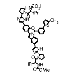 COC(=O)NC(C(=O)N1CCC[C@H]1c1ncc(-c2ccc3c(c2)cc2n3C(c3cccc(-c4ccc(C)s4)c3)Oc3cc(-c4cnc(C5CCCN5C(=O)[C@@H](NC(=O)O)C(C)C)[nH]4)ccc3-2)[nH]1)C(C)C